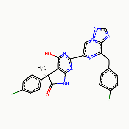 C[C@@]1(c2ccc(F)cc2)C(=O)Nc2nc(-c3cn4ncnc4c(Cc4ccc(F)cc4)n3)nc(O)c21